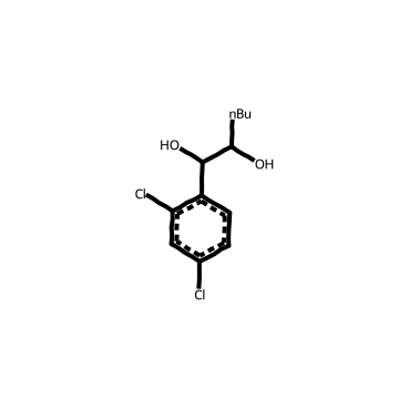 CCCCC(O)C(O)c1ccc(Cl)cc1Cl